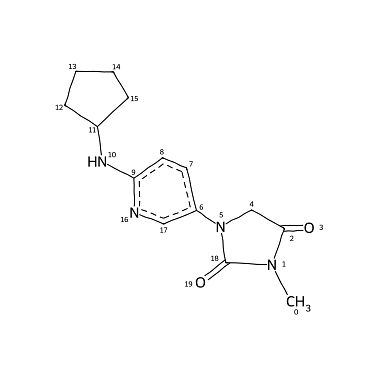 CN1C(=O)CN(c2ccc(NC3CCCC3)nc2)C1=O